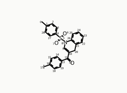 Cc1ccc(S(=O)(=O)N2C=C(C(=O)c3ccc(I)cc3)Cc3ccccc32)cc1